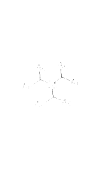 CC(=O)[CH](C(C)=O)[Co]([CH](C(C)=O)C(C)=O)[CH](C(C)=O)C(C)=O